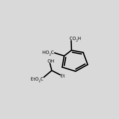 CCOC(=O)C(O)CC.O=C(O)c1ccccc1C(=O)O